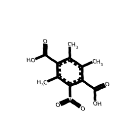 Cc1c(C)c(C(=O)O)c(I(=O)=O)c(C)c1C(=O)O